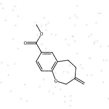 C=C1CCc2cc(C(=O)OC)ccc2OC1